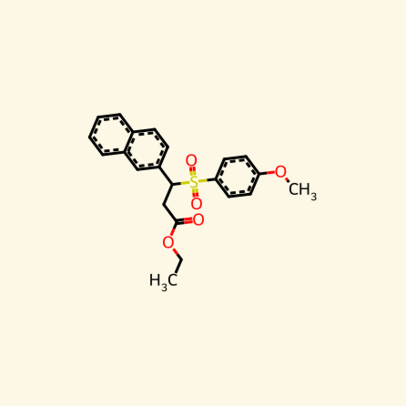 CCOC(=O)CC(c1ccc2ccccc2c1)S(=O)(=O)c1ccc(OC)cc1